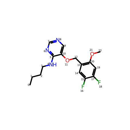 CCCCNc1ncncc1OCc1cc(F)c(F)cc1OC